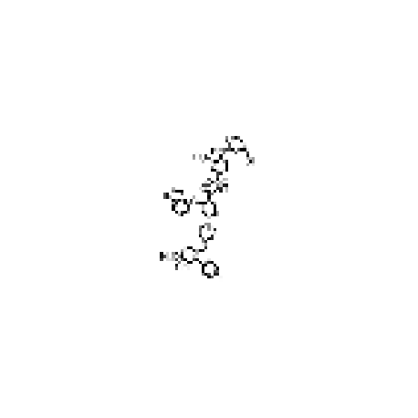 CC1(C)CCC(CN2CCN(c3ccc(C(=O)NS(=O)(=O)c4ccc(NC5CC(CO)CCO5)c([N+](=O)[O-])c4)c(Oc4cccc5[nH]ccc45)c3)CC2)=C(c2ccc(Cl)cc2)C1